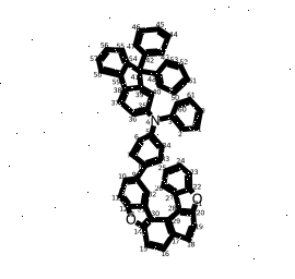 c1ccc(N(c2ccc(-c3ccc4oc5ccc6ccc7oc8ccccc8c7c6c5c4c3)cc2)c2ccc3c(c2)C(c2ccccc2)(c2ccccc2)c2ccccc2-3)cc1